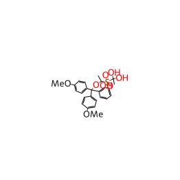 COc1ccc(C(OC(C)(O)S(=O)(=O)C(C)(O)O)(c2ccccc2)c2ccc(OC)cc2)cc1